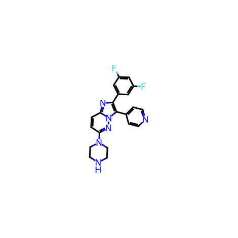 Fc1cc(F)cc(-c2nc3ccc(N4CCNCC4)nn3c2-c2ccncc2)c1